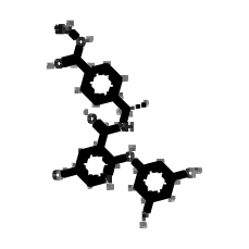 C[C@H](NC(=O)c1cc(Cl)cnc1Oc1cc(F)cc(Cl)c1)c1ccc(C(=O)OC(C)(C)C)cc1